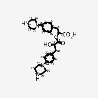 O=C(OC(Cc1ccc(N2CCNCC2)cc1)C(=O)O)C(O)Cc1ccc(N2CCNCC2)cc1